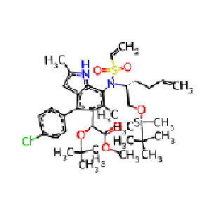 C=CCC[C@H](CO[Si](C)(C)C(C)(C)C)N(c1c(C)c([C@H](OC(C)(C)C)C(=O)OC)c(-c2ccc(Cl)cc2)c2cc(C)[nH]c12)S(=O)(=O)C=C